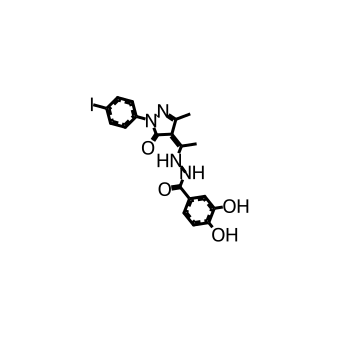 CC1=NN(c2ccc(I)cc2)C(=O)/C1=C(/C)NNC(=O)c1ccc(O)c(O)c1